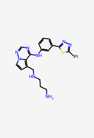 CC(C)c1nnc(-c2cccc(Nc3ncnn4ccc(CNCCCN)c34)c2)s1